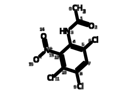 CC(=O)Nc1c(Cl)cc(Cl)c(Cl)c1[N+](=O)[O-]